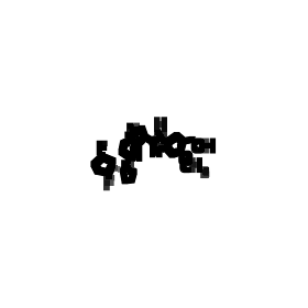 COc1cc2nc(-c3cnn4ccc(N5CCC[C@@H]5c5cc(F)ccc5F)nc34)[nH]c2cc1CO